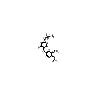 CSc1ccc(Oc2ccc(NS(C)(=O)=O)cc2I)cc1C